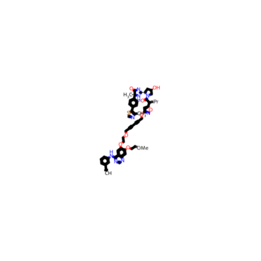 C#Cc1cccc(Nc2ncnc3cc(OCCOC)c(OCCOCC#CC#CCOc4cc(C(C(=O)N5C[C@H](O)C[C@H]5C5=NC(=O)[C@](C)(c6ccc(-c7scnc7C)cc6)N5)C(C)C)on4)cc23)c1